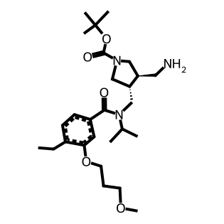 CCc1ccc(C(=O)N(C[C@@H]2CN(C(=O)OC(C)(C)C)C[C@H]2CN)C(C)C)cc1OCCCOC